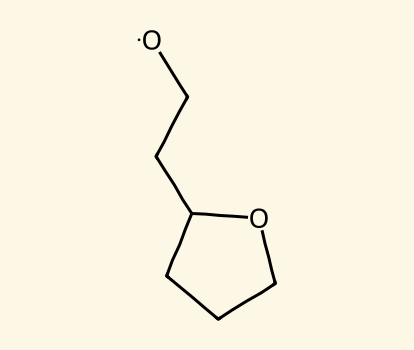 [O]CCC1CCCO1